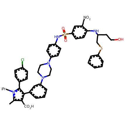 Cc1c(C(=O)O)c(-c2cccc(N3CCN(c4ccc(NS(=O)(=O)c5ccc(NC(CCO)CSc6ccccc6)c([N+](=O)[O-])c5)cc4)CC3)c2)c(-c2ccc(Cl)cc2)n1C(C)C